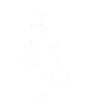 CN(C)CCOc1cccc(N/C(=C\C(=N)C(F)(F)F)c2ccc(-c3cccc(S(C)(=O)=O)c3)s2)c1